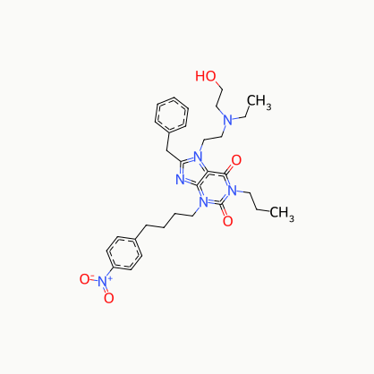 CCCn1c(=O)c2c(nc(Cc3ccccc3)n2CCN(CC)CCO)n(CCCCc2ccc([N+](=O)[O-])cc2)c1=O